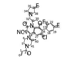 C=CC(=O)N1CCN(c2c(C#N)c(=O)n3c4c(c(-c5ccc(F)cc5F)c(Cl)cc24)OCC3CN2CCC(F)C2)[C@@H](C)C1